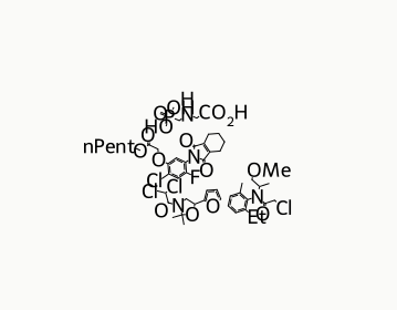 CC1(C)OC(c2ccco2)CN1C(=O)C(Cl)Cl.CCCCCOC(=O)COc1cc(N2C(=O)C3=C(CCCC3)C2=O)c(F)cc1Cl.CCc1cccc(C)c1N(C(=O)CCl)C(C)COC.O=C(O)CNCP(=O)(O)O